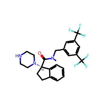 CN(Cc1cc(C(F)(F)F)cc(C(F)(F)F)c1)C(=O)[C@]1(N2CCNCC2)CCc2ccccc21